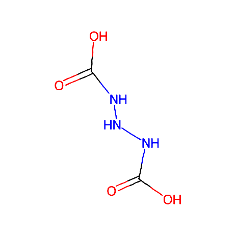 O=C(O)NNNC(=O)O